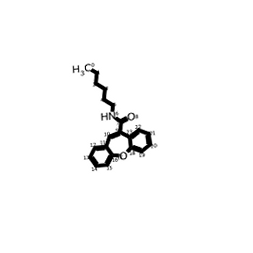 CCCCCCNC(=O)C1=Cc2ccccc2Oc2ccccc21